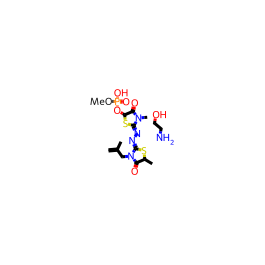 C=C(C)CN1C(=O)C(C)SC1=NN=C1SC(OP(=O)(O)OC)C(=O)N1C.NCCO